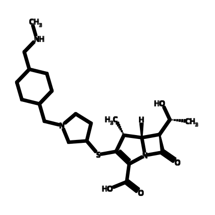 CNCC1CCC(CN2CCC(SC3=C(C(=O)O)N4C(=O)[C@H]([C@@H](C)O)[C@H]4[C@H]3C)C2)CC1